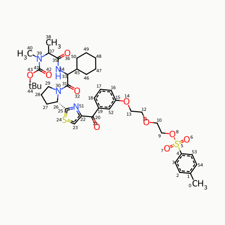 Cc1ccc(S(=O)(=O)OCCOCCOc2cccc(C(=O)c3csc([C@@H]4CCCN4C(=O)C(NC(=O)C(C)N(C)C(=O)OC(C)(C)C)C4CCCCC4)n3)c2)cc1